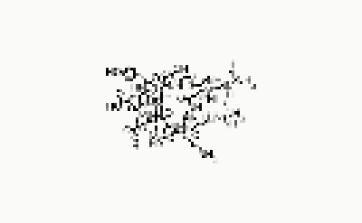 CSCC[C@H](NC(=O)[C@@H](NC(=O)[C@H](Cc1ccc(O)cc1)NC(=O)[C@H](CCC(=O)O)NC(=O)[C@H](CCC(=O)O)NC(=O)[C@H](CO)NC(=O)[C@H](CCSC)NC(=O)[C@H](CCCCN)NC(=O)[C@H](CCCNC(=N)N)NC(=O)[C@H](C)NC(=O)[C@H](CCCCN)NC(=O)[C@@H](N)CCCNC(=N)N)[C@@H](C)O)C(=O)O